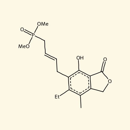 CCc1c(C)c2c(c(O)c1C/C=C/CP(=O)(OC)OC)C(=O)OC2